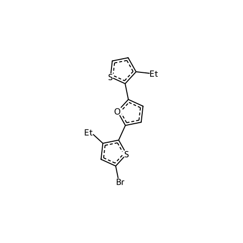 CCc1ccsc1-c1ccc(-c2sc(Br)cc2CC)o1